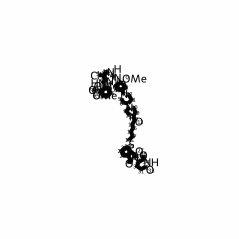 COc1cc(N2CCC(N3CCN(C(=O)CCCCCSc4cccc5c4C(=O)N(C4CCC(=O)NC4=O)C5=O)CC3)CC2)ccc1Nc1ncc(Cl)c(Nc2ccccc2P(=O)(OC)OC)n1